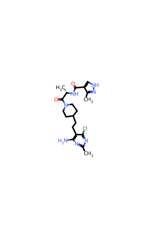 Cc1nc(N)c(CCC2CCN(C(=O)[C@H](C)NC(=O)c3c[nH]nc3C)CC2)c(Cl)n1